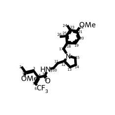 CO/C(C)=C\C(=C\C(F)(F)F)C(=O)NCCC1CCCN1Cc1ccc(OC)c(C)c1C